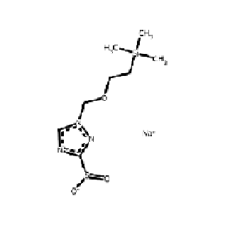 C[Si](C)(C)CCOCn1cnc(S(=O)[O-])n1.[Na+]